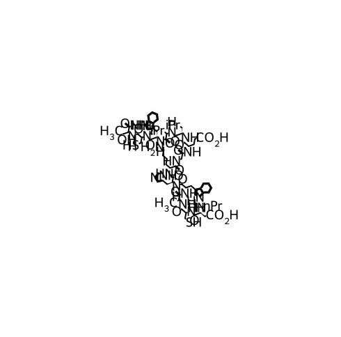 CCCN[C@@H](CC(=O)O)C(=O)NC(CS)C(=O)N[C@@H](C)C(=O)NC(Cc1c[nH]c2ccccc12)C(=O)N[C@@H](Cc1cnc[nH]1)C(=O)NC(CCCCN)C(=O)NCC(=O)NC(CCC(=O)O)C(=O)N[C@@H](CC(C)C)C(=O)NC(C(=O)N[C@@H](Cc1c[nH]c2ccccc12)C(=O)NC(CS)C(=O)N[C@H](C(N)=O)[C@@H](C)O)C(C)C